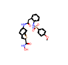 COc1ccc(S(=O)(=O)Nc2ccccc2CC(=O)Nc2ccc3cc(C(=O)NO)sc3c2)cc1